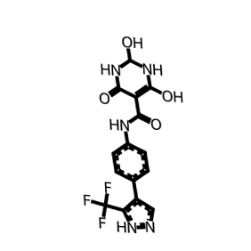 O=C(Nc1ccc(-c2cn[nH]c2C(F)(F)F)cc1)C1=C(O)NC(O)NC1=O